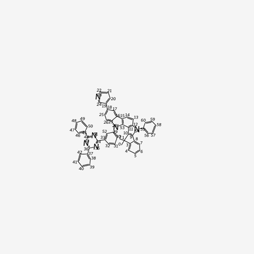 CC1(C)c2ccccc2-c2c1c1c(ccc3c4cc(-c5cccnc5)ccc4n(-c4cccc(-c5nc(-c6ccccc6)nc(-c6ccccc6)n5)c4)c31)n2-c1ccccc1